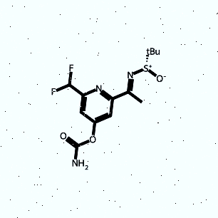 CC(=N[S@@+]([O-])C(C)(C)C)c1cc(OC(N)=O)cc(C(F)F)n1